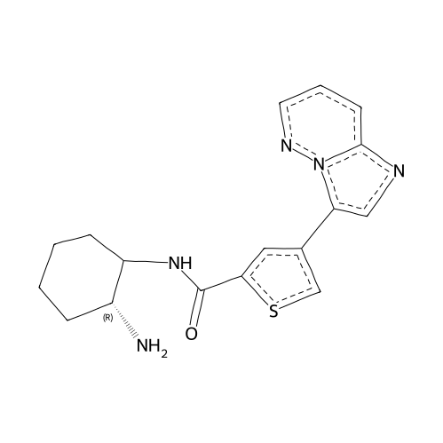 N[C@@H]1CCCCC1NC(=O)c1cc(-c2cnc3cccnn23)cs1